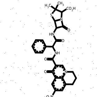 CC1(C)SC2C(NC(=O)C(NC(=O)c3cn4c5c(cc([N+](=O)[O-])cc5c3=O)CCC4)c3ccccc3)C(=O)N2C1C(=O)O